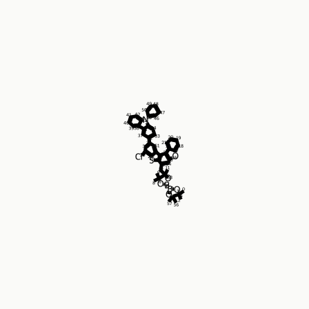 CC1(C)OB(B2OC(C)(C)C(C)(Cc3cc4oc5ccccc5c4c4c3sc3c(Cl)cc(-c5ccc6c(c5)c5ccccc5n6-c5ccccc5)cc34)O2)OC1(C)C